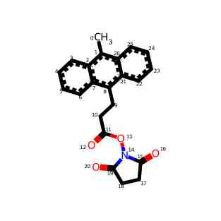 Cc1c2ccccc2c(CCC(=O)ON2C(=O)CCC2=O)c2ccccc12